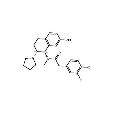 CN(C(=O)Cc1ccc(Cl)c(Cl)c1)[C@@H]1c2cc(N)ccc2CC[C@H]1N1CCCC1